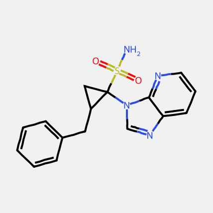 NS(=O)(=O)C1(n2cnc3cccnc32)CC1Cc1ccccc1